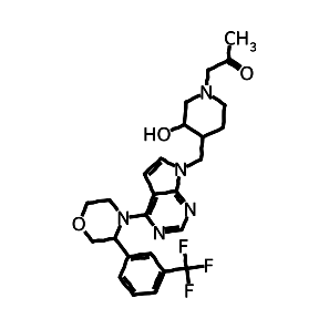 CC(=O)CN1CCC(Cn2ccc3c(N4CCOCC4c4cccc(C(F)(F)F)c4)ncnc32)C(O)C1